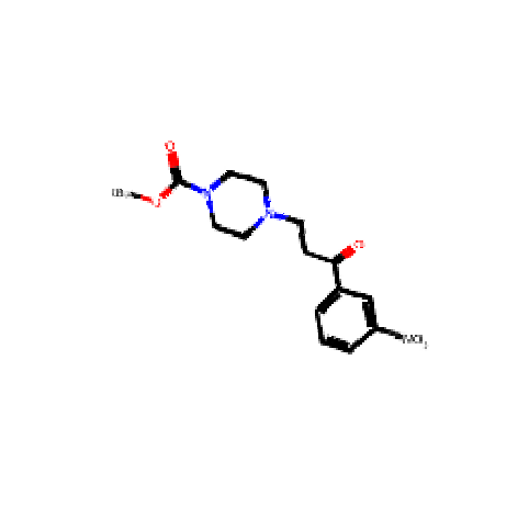 CC(C)(C)OC(=O)N1CCN(CCC(=O)c2cccc([N+](=O)[O-])c2)CC1